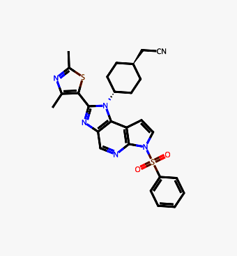 Cc1nc(C)c(-c2nc3cnc4c(ccn4S(=O)(=O)c4ccccc4)c3n2[C@H]2CC[C@H](CC#N)CC2)s1